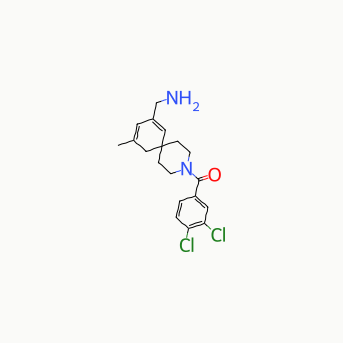 CC1=CC(CN)=CC2(CCN(C(=O)c3ccc(Cl)c(Cl)c3)CC2)C1